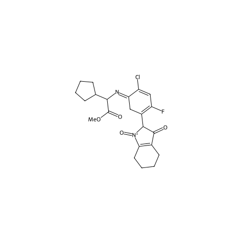 COC(=O)C(N=C1CC(C2C(=O)C3=C(CCCC3)[N+]2=O)=C(F)C=C1Cl)C1CCCC1